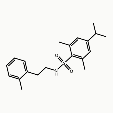 Cc1ccccc1CCNS(=O)(=O)c1c(C)cc(C(C)C)cc1C